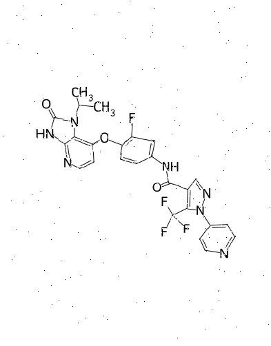 CC(C)n1c(=O)[nH]c2nccc(Oc3ccc(NC(=O)c4cnn(-c5ccncc5)c4C(F)(F)F)cc3F)c21